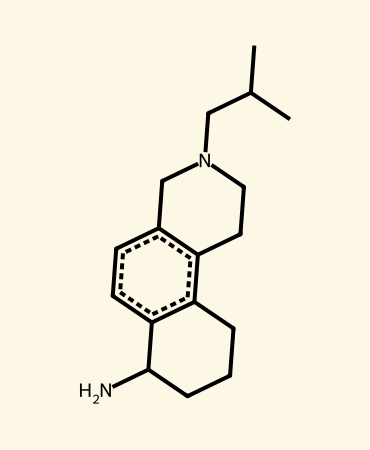 CC(C)CN1CCc2c(ccc3c2CCCC3N)C1